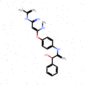 C=C(C)NC(=N)/C=C(\NC)Oc1ccc(NC(=C)[C@H](O)c2ccccc2)cc1